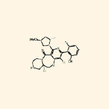 CO[C@H]1C[C@H](C)N(c2nc(-c3c(O)cccc3F)c(Cl)c3c2C(=O)N2CCNC[C@@H]2CO3)C1